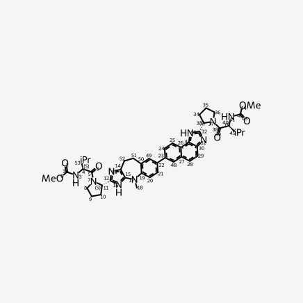 COC(=O)N[C@H](C(=O)N1CCC[C@H]1c1nc2c([nH]1)N(C)c1ccc(-c3ccc4c(ccc5nc([C@@H]6CCCN6C(=O)[C@@H](NC(=O)OC)C(C)C)[nH]c54)c3)cc1CC2)C(C)C